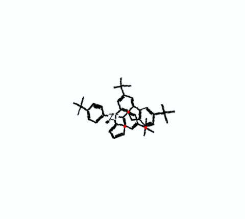 [CH2]=[Zr]([C]1=CC=CC1)([c]1ccc(C(C)(C)C)cc1)([c]1ccc(C(C)(C)C)cc1)[c]1cc(C(C)(C)C)cc2c1Cc1ccc(C(C)(C)C)cc1-2